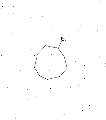 [CH2]CC1CCCCCCCC1